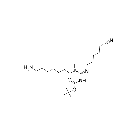 CC(C)(C)OC(=O)N/C(=N/CCCCCC#N)NCCCCCCCN